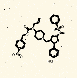 C=CCN(C(=O)OCc1ccc([N+](=O)[O-])cc1)C1CCN(CC2CC(N(C)S(=O)(=O)c3ccccc3)CC2c2ccccc2)CC1.Cl